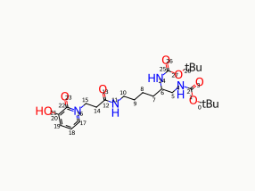 CC(C)(C)OC(=O)NCC(CCCCNC(=O)CCn1cccc(O)c1=O)NC(=O)OC(C)(C)C